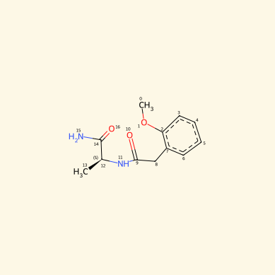 COc1ccccc1CC(=O)N[C@@H](C)C(N)=O